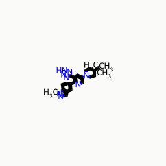 Cn1ncc2cc(-c3ncc(N4CCC(C(C)(C)C)CC4)cc3-c3nn[nH]n3)ccc21